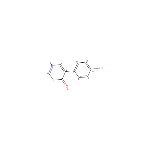 O=C1CC=NC=C1c1ccc(F)cc1